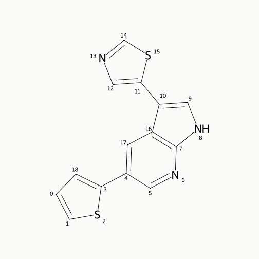 c1csc(-c2cnc3[nH]cc(-c4cncs4)c3c2)c1